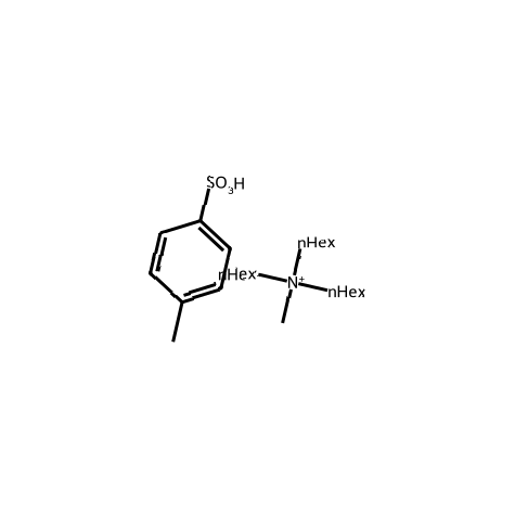 CCCCCC[N+](C)(CCCCCC)CCCCCC.Cc1ccc(S(=O)(=O)O)cc1